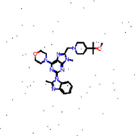 COC(C)(C)C1CCN(Cc2nc3c(N4CCOCC4)nc(-n4c(C)nc5ccccc54)nc3n2C)CC1